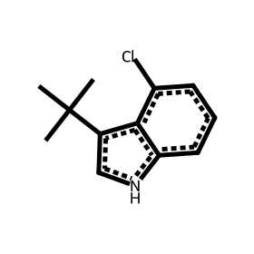 CC(C)(C)c1c[nH]c2cccc(Cl)c12